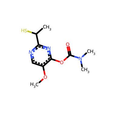 COc1cnc(C(C)S)nc1OC(=O)N(C)C